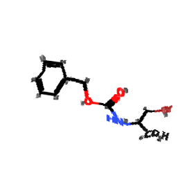 O=C(NC(CBr)C(=O)O)OCc1ccccc1